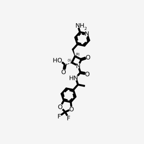 CC(NC(=O)N1C(=O)[C@H](Cc2ccnc(N)c2)[C@H]1C(=O)O)c1ccc2c(c1)OC(F)(F)O2